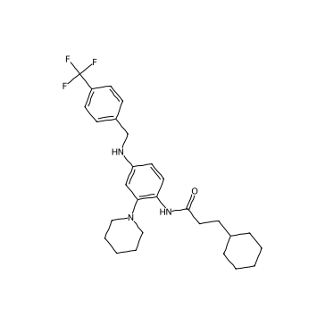 O=C(CCC1CCCCC1)Nc1ccc(NCc2ccc(C(F)(F)F)cc2)cc1N1CCCCC1